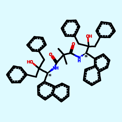 CC(C)(C(=O)N[C@@H](c1cccc2ccccc12)C(O)(Cc1ccccc1)Cc1ccccc1)C(=O)N[C@@H](c1cccc2ccccc12)C(O)(Cc1ccccc1)Cc1ccccc1